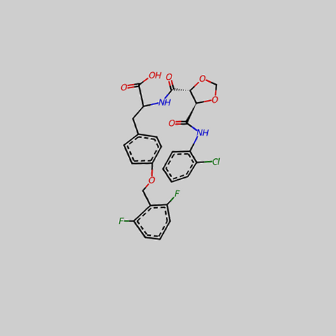 O=C(O)C(Cc1ccc(OCc2c(F)cccc2F)cc1)NC(=O)[C@@H]1OCO[C@H]1C(=O)Nc1ccccc1Cl